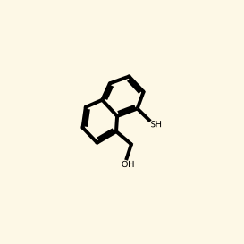 OCc1cccc2cccc(S)c12